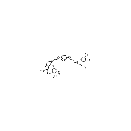 CCCCCN(CCCOC(=O)/C=C\C(=O)OCCC[N@+]1(C)CCc2cc(OC)c(OC)cc2[C@H]1Cc1ccc(OC)c(OC)c1)Cc1ccc(OC)c(OC)c1